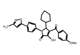 COc1ccc(C(=O)C2=C(O)C(=O)N(c3ccc(-c4cc(C)no4)cc3)C2C2CCCCC2)cc1